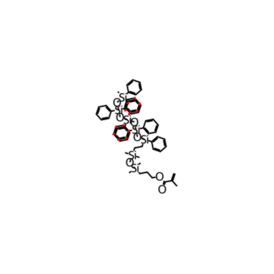 C=C[Si](C)(O[Si](O[Si](O[Si](O[Si](C)(CC[Si](C)(C)O[Si](C)(C)CCCOC(=O)C(=C)C)c1ccccc1)(c1ccccc1)c1ccccc1)(c1ccccc1)c1ccccc1)(c1ccccc1)c1ccccc1)c1ccccc1